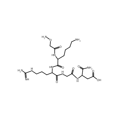 N=C(N)NCCCC(NC(=O)C(CCCCN)NC(=O)CON)C(=O)NCC(=O)NC(CC(=O)O)C(N)=O